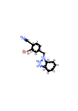 N#Cc1ccc(Cn2nnc3ccccc32)cc1Br